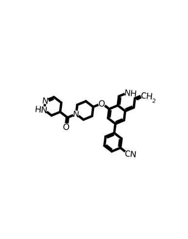 C=C/C=c1/cc(-c2cccc(C#N)c2)cc(OC2CCN(C(=O)C3CC=NNC3)CC2)/c1=C/N